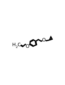 C=CCOc1ccc(CCOCC2CC2)cc1